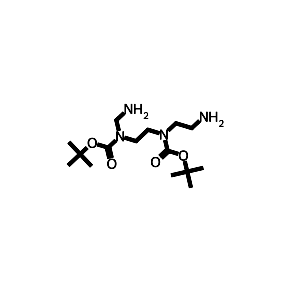 CC(C)(C)OC(=O)N(CN)CCN(CCN)C(=O)OC(C)(C)C